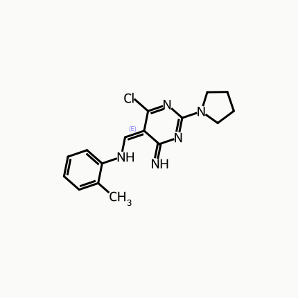 Cc1ccccc1N/C=C1\C(=N)N=C(N2CCCC2)N=C1Cl